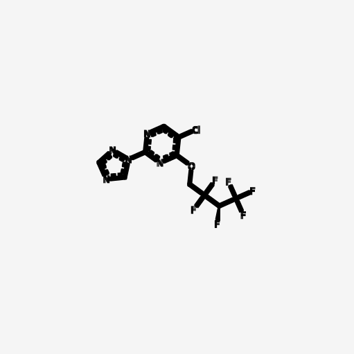 F[C@H](C(F)(F)F)C(F)(F)COc1nc(-n2cncn2)ncc1Cl